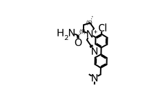 C[C@H]1C[C@@H](C(N)=O)[N+](CC#N)(c2cc(-c3ccc(CN(C)C)cc3)ccc2Cl)C1